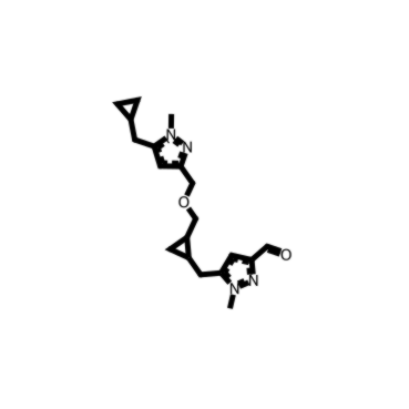 Cn1nc(C=O)cc1CC1CC1COCc1cc(CC2CC2)n(C)n1